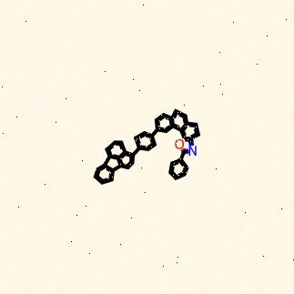 c1ccc(-c2nc3ccc4ccc5ccc(-c6ccc(-c7ccc8c9c(cccc79)-c7ccccc7-8)cc6)cc5c4c3o2)cc1